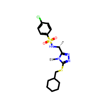 CCn1c(SCC2CCCCC2)nnc1[C@@H](C)NS(=O)(=O)c1ccc(Cl)cc1